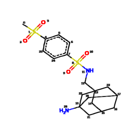 CS(=O)(=O)c1ccc(S(=O)(=O)NCC23CC4CC(CC(N)(C4)C2)C3)cc1